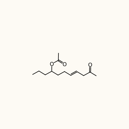 CCCC(CCC=CCC(C)=O)OC(C)=O